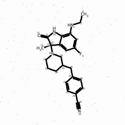 CCNc1cc(F)cc2c1NC(=O)[C@@]2(C)N1CCCC(Cc2ccc(C#N)cc2)C1